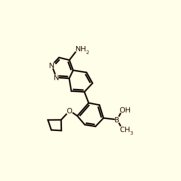 CB(O)c1ccc(OC2CCC2)c(-c2ccc3c(N)cnnc3c2)c1